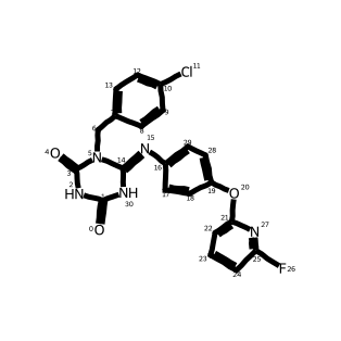 O=c1[nH]c(=O)n(Cc2ccc(Cl)cc2)/c(=N/c2ccc(Oc3cccc(F)n3)cc2)[nH]1